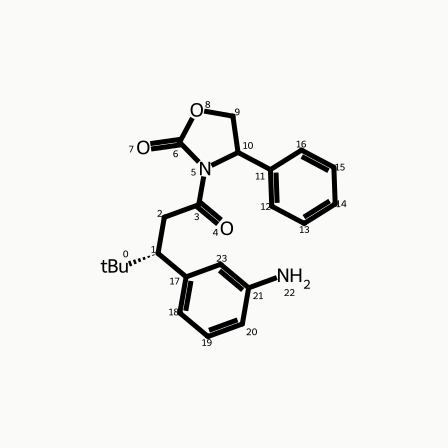 CC(C)(C)[C@H](CC(=O)N1C(=O)OCC1c1ccccc1)c1cccc(N)c1